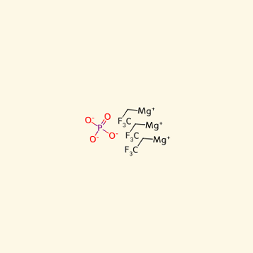 FC(F)(F)[CH2][Mg+].FC(F)(F)[CH2][Mg+].FC(F)(F)[CH2][Mg+].O=P([O-])([O-])[O-]